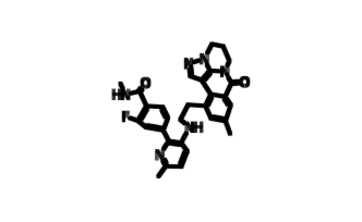 CNC(=O)c1ccc(-c2nc(C)ccc2NCCc2cc(C)cc3c(=O)n4c5c(cnn5CCC4)c23)cc1F